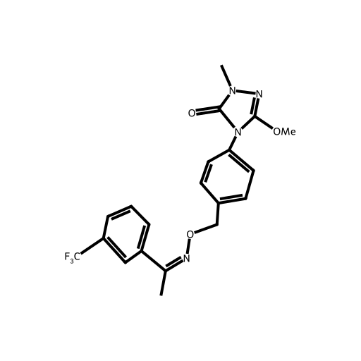 COc1nn(C)c(=O)n1-c1ccc(CON=C(C)c2cccc(C(F)(F)F)c2)cc1